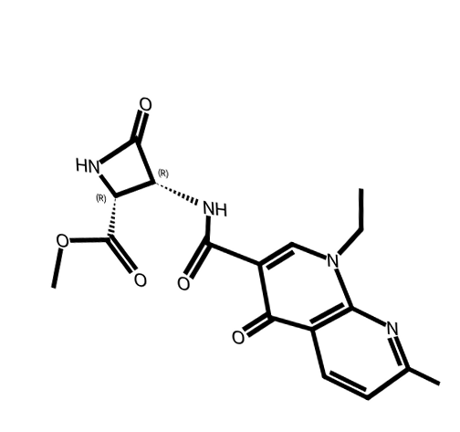 CCn1cc(C(=O)N[C@H]2C(=O)N[C@H]2C(=O)OC)c(=O)c2ccc(C)nc21